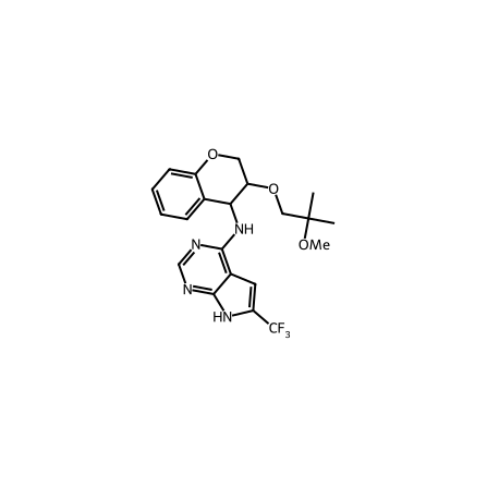 COC(C)(C)COC1COc2ccccc2C1Nc1ncnc2[nH]c(C(F)(F)F)cc12